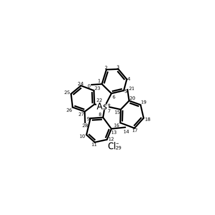 Cc1ccccc1[As+](c1ccccc1C)(c1ccccc1C)c1ccccc1C.[Cl-]